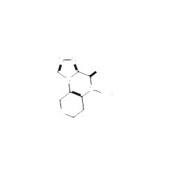 CCCCn1c2c(n3cnnc3c1=O)COCC2